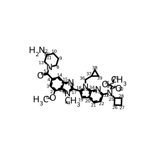 COc1cc(C(=O)N2CCC[C@@H](N)C2)cc2nc(-c3cc4ccc(N(C5CCC5)S(C)(=O)=O)nc4n3CC3CC3)n(C)c12